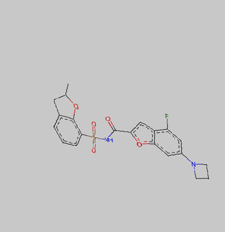 CC1Cc2cccc(S(=O)(=O)NC(=O)c3cc4c(F)cc(N5CCC5)cc4o3)c2O1